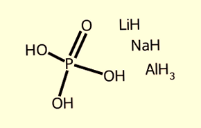 O=P(O)(O)O.[AlH3].[LiH].[NaH]